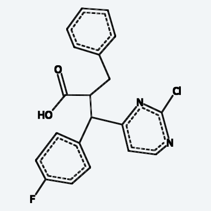 O=C(O)C(Cc1ccccc1)C(c1ccc(F)cc1)c1ccnc(Cl)n1